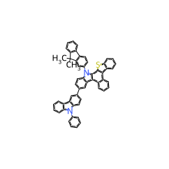 CC1(C)c2ccccc2-c2ccc(-n3c4ccc(-c5ccc6c(c5)c5ccccc5n6-c5ccccc5)cc4c4c5ccccc5c5c6ccccc6sc5c43)cc21